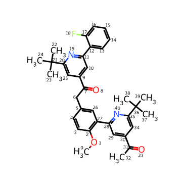 COc1ccc(CC(=O)c2cc(-c3ccccc3F)nc(C(C)(C)C)c2)cc1-c1cc(C(C)=O)cc(C(C)(C)C)n1